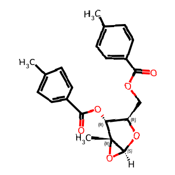 Cc1ccc(C(=O)OC[C@H]2O[C@H]3O[C@]3(C)[C@@H]2OC(=O)c2ccc(C)cc2)cc1